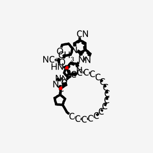 C[C@H](C#N)Nc1cc(-n2ncc3cc(C#N)cnc32)ncc1-n1cc(C23CCC(CCOC4CCCCO4)CCCCCCCCCCCCCCCCCC(CC2)C3)nn1